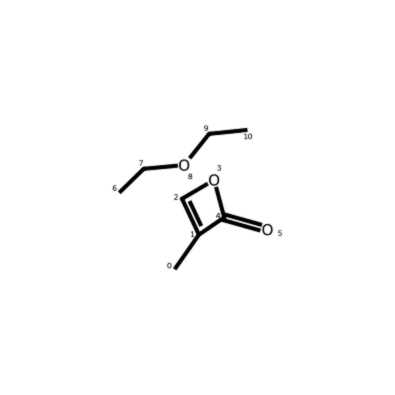 CC1=COC1=O.CCOCC